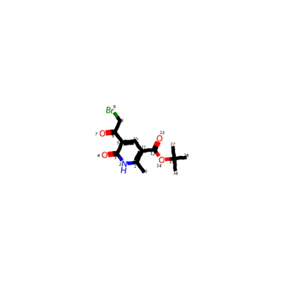 Cc1[nH]c(=O)c(C(=O)CBr)cc1C(=O)OC(C)(C)C